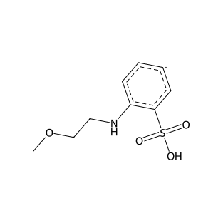 COCCNc1cc[c]cc1S(=O)(=O)O